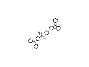 [2H]/C(=C(/[2H])c1ccc(N(c2ccccc2)c2ccccc2)cc1)c1ccc(-c2ccc3c(c2)c2ccccc2n3-c2ccccc2)cc1